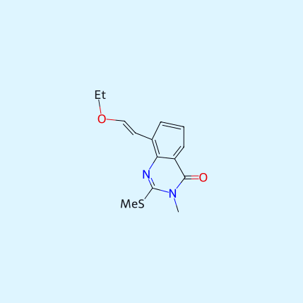 CCOC=Cc1cccc2c(=O)n(C)c(SC)nc12